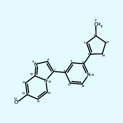 CC1C=C(c2cc(-c3cnc4cc(Cl)ccn34)ccn2)CC1